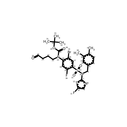 Cc1ccc(CN(c2ncc(F)s2)S(=O)(=O)c2cc(Br)c(N(CCCC=O)C(=O)OC(C)(C)C)cc2F)cc1C